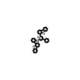 c1ccc(-c2cc(-c3cccc4c3sc3ccccc34)nc(-n3c4ccccc4c4c5sc6ccccc6c5ccc43)c2)cc1